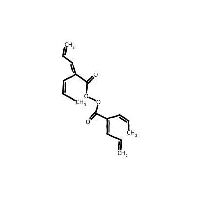 C=C/C=C(\C=C/C)C(=O)OOC(=O)C(/C=C\C)=C/C=C